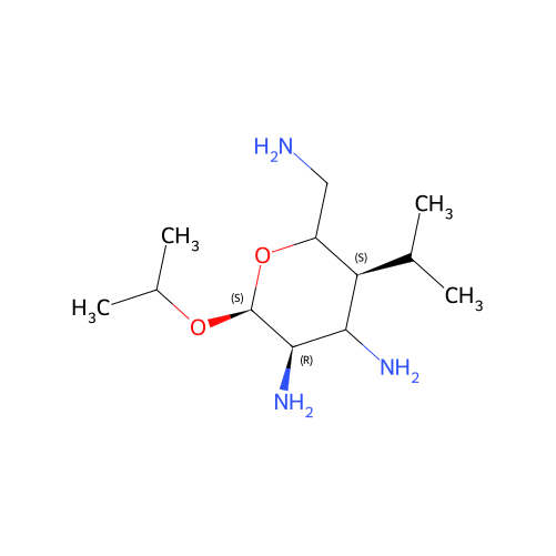 CC(C)O[C@H]1OC(CN)[C@@H](C(C)C)C(N)[C@H]1N